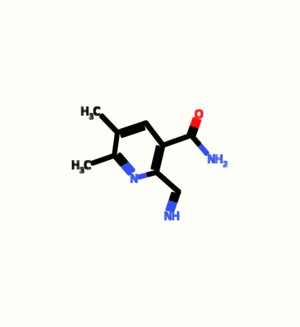 Cc1cc(C(N)=O)c(C=N)nc1C